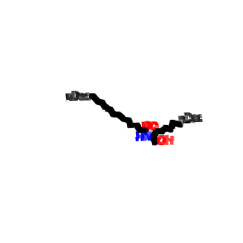 CCCCCCCCCCCCCCCCCCCCCCC(=O)NC(CO)C(O)CCCCCCCCCCCCCCC